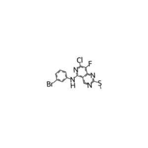 CSc1ncc2c(Nc3cccc(Br)c3)nc(Cl)c(F)c2n1